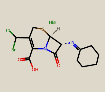 Br.O=C(O)C1=C(C(Cl)Br)CS[C@H]2[C@H](N=C3CCCCC3)C(=O)N12